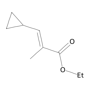 CCOC(=O)/C(C)=C/C1CC1